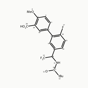 COc1ccc(-c2cc(C(N[S+]([O-])C(C)(C)C)C(F)(F)F)ccc2F)cc1C(=O)O